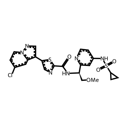 COC[C@@H](NC(=O)c1ncc(-c2cnn3ccc(Cl)cc23)s1)c1cc(NS(=O)(=O)C2CC2)ccn1